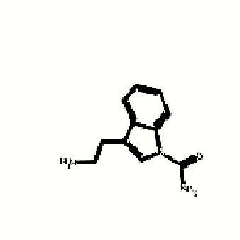 NCCc1cn(C(N)=O)c2ccccc12